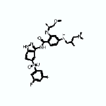 COC[C@H](C)Nc1cc(NCC(C)CN(C)C)ccc1C(=O)Nc1n[nH]c2ccc(S(=O)(=O)c3cc(F)cc(F)c3)cc12